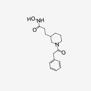 O=C(CCC1CCCN(C(=O)Cc2ccccc2)C1)NO